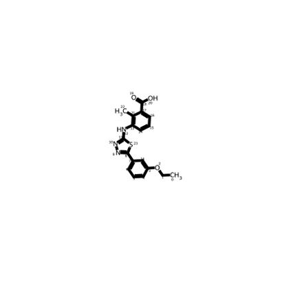 CCOc1cccc(-c2nnc(Nc3cccc(C(=O)O)c3C)s2)c1